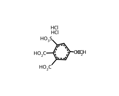 Cl.Cl.Cl.O=C(O)c1cc(C(=O)O)c(C(=O)O)c(S(=O)(=O)O)c1